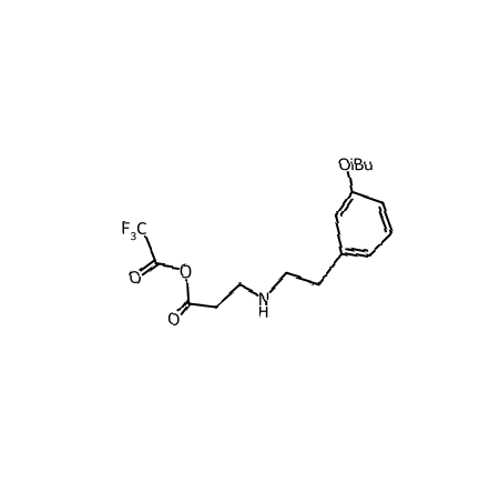 CC(C)COc1cccc(CCNCCC(=O)OC(=O)C(F)(F)F)c1